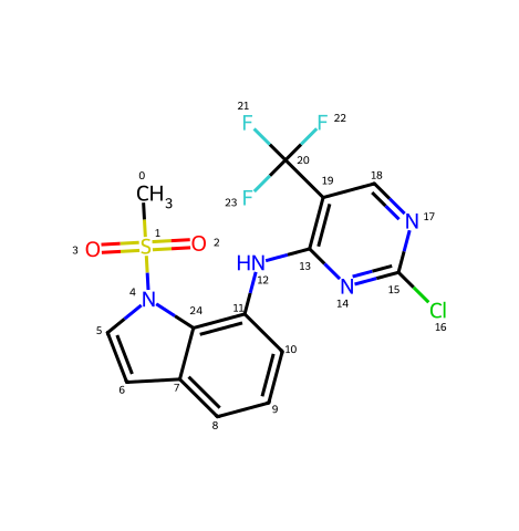 CS(=O)(=O)n1ccc2cccc(Nc3nc(Cl)ncc3C(F)(F)F)c21